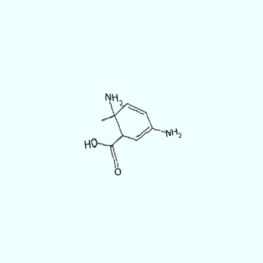 CC1(N)C=CC(N)=CC1C(=O)O